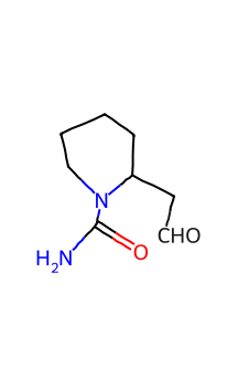 NC(=O)N1CCCCC1CC=O